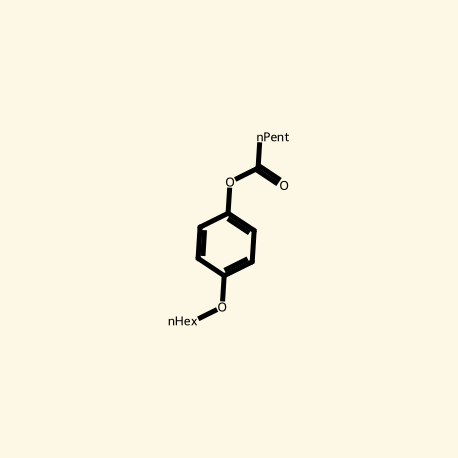 CCCCCCOc1ccc(OC(=O)CCCCC)cc1